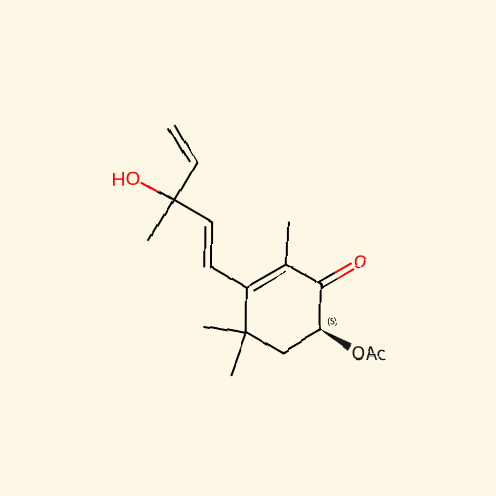 C=CC(C)(O)C=CC1=C(C)C(=O)[C@@H](OC(C)=O)CC1(C)C